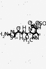 Cn1ncc2c1[C@@H](C(=O)NNC(=O)c1csc(N)n1)N1C[C@@H]2N(OS(=O)(=O)O)C1=O